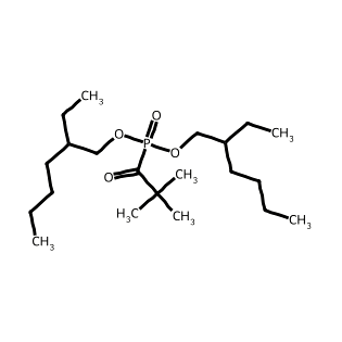 CCCCC(CC)COP(=O)(OCC(CC)CCCC)C(=O)C(C)(C)C